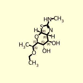 CCO[C@@H](C)[C@H]1O[C@@H]2SC(NC)=N[C@@H]2[C@@H](O)[C@@H]1O